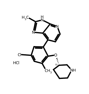 Cc1nc2c(-c3cc(Cl)cc(C)c3O[C@H]3CCCNC3)ccnc2[nH]1.Cl